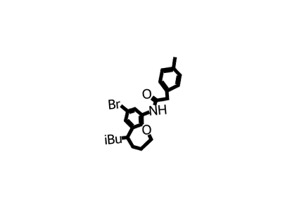 CCC(C)C1CCCOc2c(NC(=O)Cc3ccc(C)cc3)cc(Br)cc21